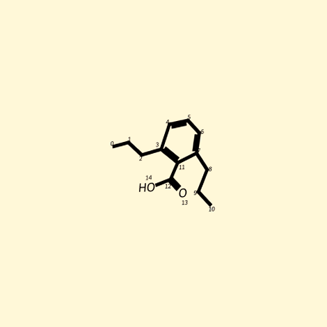 CCCc1cccc(CCC)c1C(=O)O